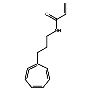 C=CC(=O)NCCCC1=C=CC=CC=C1